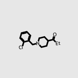 CCC(=O)C1CCN(Cc2ccccc2Cl)CC1